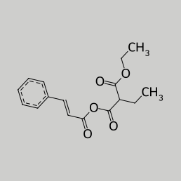 CCOC(=O)C(CC)C(=O)OC(=O)/C=C/c1ccccc1